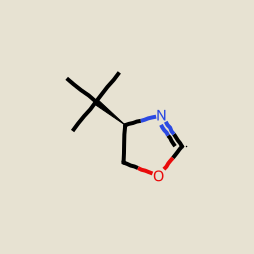 CC(C)(C)[C@@H]1CO[C]=N1